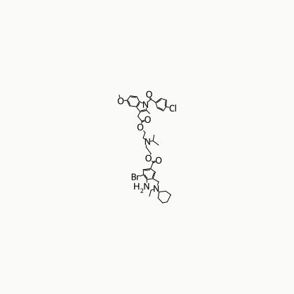 CCN(Cc1cc(C(=O)OCCN(CCOC(=O)Cc2c(C)n(C(=O)c3ccc(Cl)cc3)c3ccc(OC)cc23)C(C)C)cc(Br)c1N)C1CCCCC1